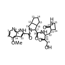 COc1ccnc2[nH]c(C(=O)N3CC4CCCC4C3C(=O)NC(CC3CCNC3=O)C(=O)CO)cc12